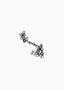 CC(C)C(CS(=O)(=O)C(C)C)N1C(=O)[C@]2(CC[C@H]1c1ccc(Cl)cc1)CC(=O)N2CCOCCOCCOCCNc1cccc2c1CN(C1CCC(=O)NC1=O)C2=O